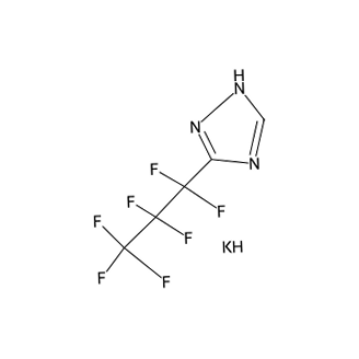 FC(F)(F)C(F)(F)C(F)(F)c1nc[nH]n1.[KH]